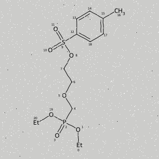 CCOP(=O)(COCCOS(=O)(=O)c1ccc(C)cc1)OCC